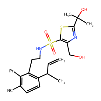 C=CC(C)c1ccc(C#N)c(C(C)C)c1CCNS(=O)(=O)c1sc(C(C)(C)O)nc1CO